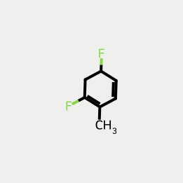 CC1=C(F)CC(F)C=C1